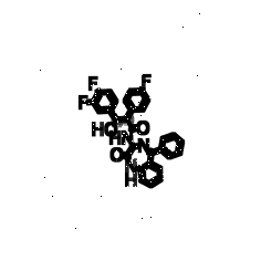 O=C1Nc2ccccc2C(c2ccccc2)=NC1NC(=O)[C@H](c1ccc(F)cc1)[C@@H](O)c1ccc(F)c(F)c1